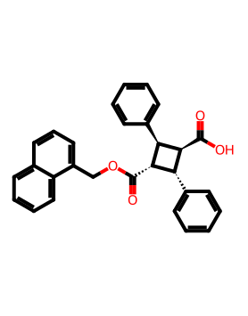 O=C(O)[C@H]1[C@H](c2ccccc2)[C@H](C(=O)OCc2cccc3ccccc23)[C@H]1c1ccccc1